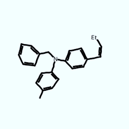 CC/C=C\c1ccc(N(Cc2ccccc2)c2ccc(C)cc2)cc1